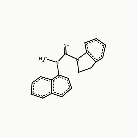 CN(C(=N)N1CCc2ccccc21)c1cccc2ccccc12